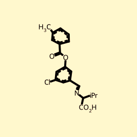 Cc1cccc(C(=O)Oc2cc(Cl)cc(C=NC(C(=O)O)C(C)C)c2)c1